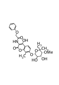 CO[C@@H]1[C@H](O)[C@@H](O)[C@H](Oc2ccc3c(O)c(NC(=O)COc4ccccc4)c(=O)oc3c2C)OC1(C)C